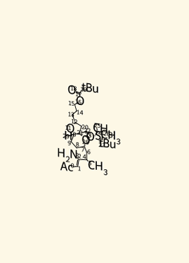 CC(=O)/C=C(\N)[C@H](C)CC1CC[C@@H]2O[C@@H](CCCOC(=O)C(C)(C)C)C[C@]2(CO[Si](C)(C)C(C)(C)C)O1